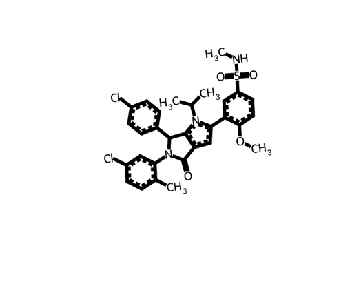 CNS(=O)(=O)c1ccc(OC)c(-c2cc3c(n2C(C)C)C(c2ccc(Cl)cc2)N(c2cc(Cl)ccc2C)C3=O)c1